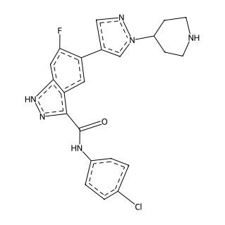 O=C(Nc1ccc(Cl)cc1)c1n[nH]c2cc(F)c(-c3cnn(C4CCNCC4)c3)cc12